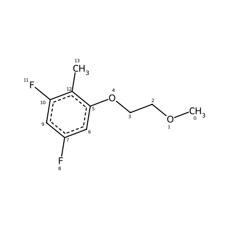 COCCOc1cc(F)cc(F)c1C